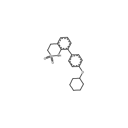 O=S1(=O)CCc2cccc(-c3ccc(OC4CCCCC4)cc3)c2N1